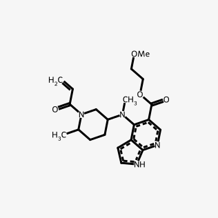 C=CC(=O)N1CC(N(C)c2c(C(=O)OCCOC)cnc3[nH]ccc23)CCC1C